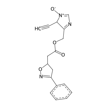 C#CC1C(COC(=O)CC2CC(c3ccccc3)=NO2)=NC=[N+]1[O-]